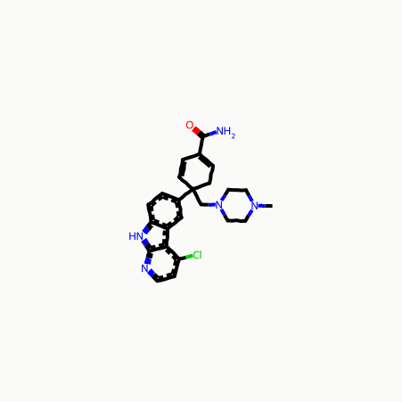 CN1CCN(CC2(c3ccc4[nH]c5nccc(Cl)c5c4c3)C=CC(C(N)=O)=CC2)CC1